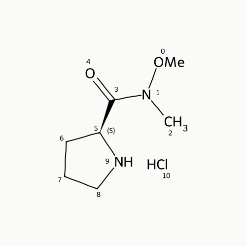 CON(C)C(=O)[C@@H]1CCCN1.Cl